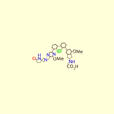 COc1cc(-c2cccc(-c3cccc(-c4cnc(CN5CC6(CCC(=O)N6)C5)c(OC)n4)c3Cl)c2Cl)cc2c1CC(NCC(=O)O)C2